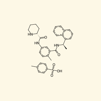 Cc1ccc(NC(=O)[C@H]2CCCCN2)cc1C(=O)N[C@H](C)c1cccc2ccccc12.Cc1ccc(S(=O)(=O)O)cc1